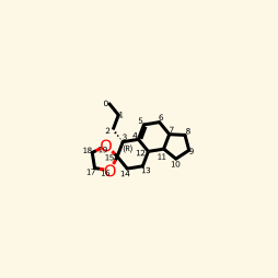 CCC[C@@H]1C2=CCC3CCCC3C2CCC12OCCO2